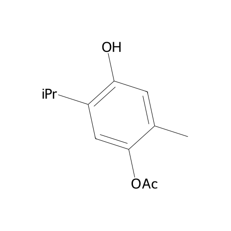 CC(=O)Oc1cc(C(C)C)c(O)cc1C